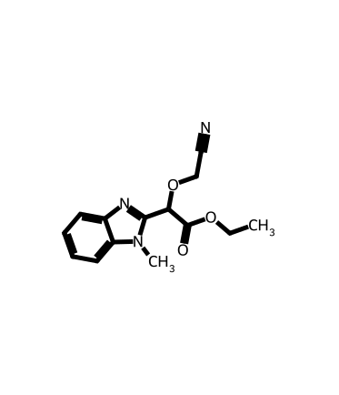 CCOC(=O)C(OCC#N)c1nc2ccccc2n1C